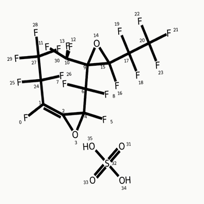 FC(=C1OC1(F)C(F)(F)C1(C(F)(F)F)OC1(F)C(F)(F)C(F)(F)F)C(F)(F)C(F)(F)F.O=S(=O)(O)O